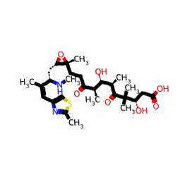 CN[C@@H](C[C@@H]1O[C@]1(C)CCC(=O)[C@H](C)[C@H](O)[C@@H](C)C(=O)C(C)(C)[C@@H](O)CC(=O)O)C(C)=Cc1csc(C)n1